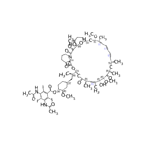 CO[C@H]1C[C@@H]2CC[C@@H](C)[C@@](O)(O2)C(=O)C(=O)N2CCCC[C@H]2C(=O)O[C@H]([C@H](C)C[C@@H]2CC[C@@H](OC(=O)c3c(I)c(NC(C)=O)c(I)c(NC(C)=O)c3I)[C@H](OC)C2)CC(=O)[C@H](C)/C=C(\C)[C@@H](O)[C@@H](OC)C(=O)[C@H](C)C[C@H](C)/C=C/C=C/C=C/1C